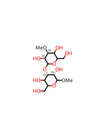 COC1OC(CO)C(O)[C@H](OC2OC(CO)C(O)[C@H](OC)[C@@H]2O)[C@@H]1O